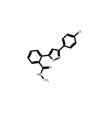 CNC(=O)c1ccccc1-c1cc(-c2ccc(Cl)cc2)no1